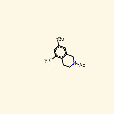 CC(=O)N1CCc2c(cc(C(C)(C)C)cc2C(F)(F)F)C1